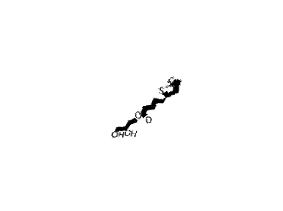 O=C(CCCC[C@@H]1CCSS1)OCC[C@H](O)CO